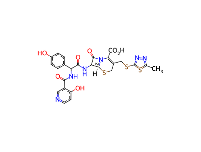 Cc1nnc(SCC2=C(C(=O)O)N3C(=O)C(NC(=O)C(NC(=O)c4cnccc4O)c4ccc(O)cc4)[C@@H]3SC2)s1